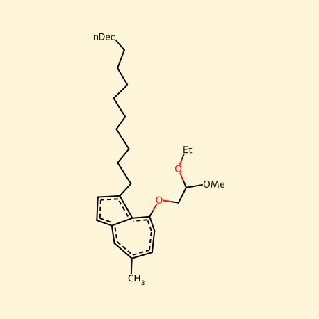 CCCCCCCCCCCCCCCCCCCc1ccc2cc(C)ccc(OCC(OC)OCC)c1-2